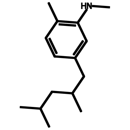 CNc1cc(CC(C)CC(C)C)ccc1C